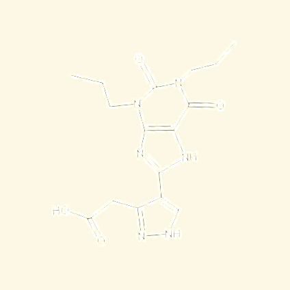 CCCn1c(=O)c2[nH]c(-c3c[nH]nc3CC(=O)O)nc2n(CCC)c1=O